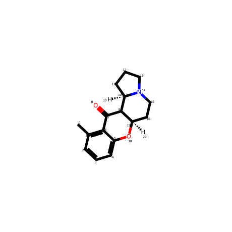 Cc1cccc2c1C(=O)C1[C@H]3CCCN3CC[C@H]1O2